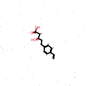 C=Cc1ccc(CCC(O)CC(=O)O)cc1